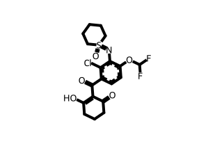 O=C1CCCC(O)=C1C(=O)c1ccc(OC(F)F)c(N=S2(=O)CCCCC2)c1Cl